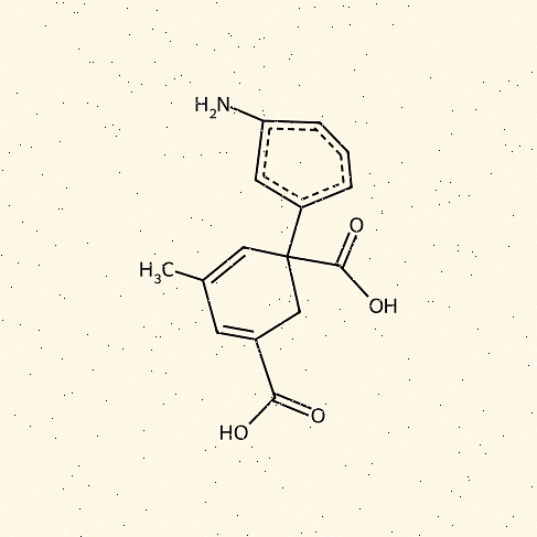 CC1=CC(C(=O)O)(c2cccc(N)c2)CC(C(=O)O)=C1